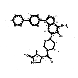 Nc1c(Br)c(C2CCN(C(=O)C3CNC(=O)N3)CC2)nc2c(-c3ccc(-c4ccccc4)nc3)cnn12